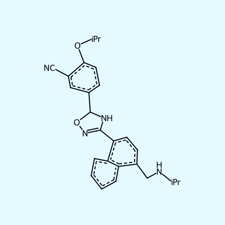 CC(C)NCc1ccc(C2=NOC(c3ccc(OC(C)C)c(C#N)c3)N2)c2ccccc12